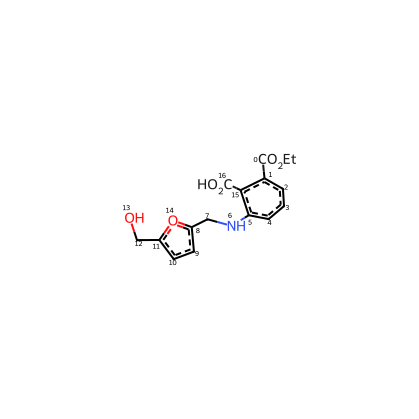 CCOC(=O)c1cccc(NCc2ccc(CO)o2)c1C(=O)O